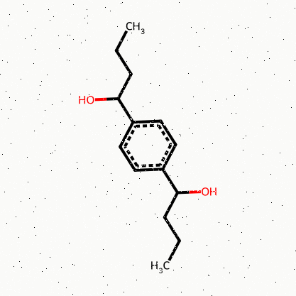 CCCC(O)c1ccc(C(O)CCC)cc1